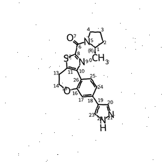 C[C@@H]1CCCN1C(=O)c1nc2c(s1)CCOc1cc(-c3cn[nH]c3)ccc1-2